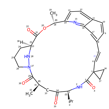 CC(C)[C@@H]1NC(=O)C2(/C=C/c3ccc4ccc(nc4c3)[C@@H](C)OC(=O)[C@@H]3CCCN(N3)C(=O)[C@H](C)CC1=O)CC2